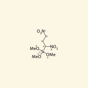 CO[Si](OC)(OC)C(CC[N+](=O)[O-])[N+](=O)[O-]